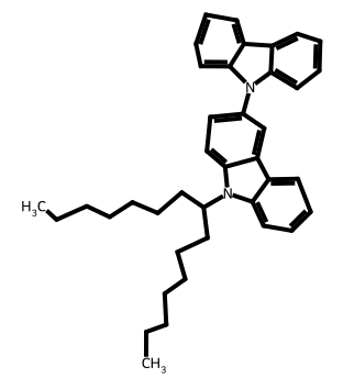 CCCCCCCC(CCCCCCC)n1c2ccccc2c2cc(-n3c4ccccc4c4ccccc43)ccc21